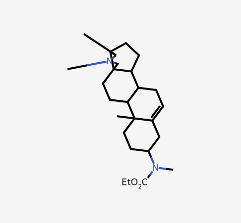 CCOC(=O)N(C)C1CCC2(C)C(=CCC3C2CCC24CN(C)C(C)C2CCC34)C1